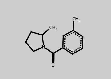 Cc1cccc(C(=O)N2CCCC2C)c1